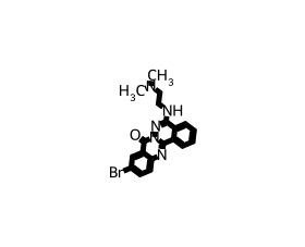 CN(C)CCNc1nn2c(=O)c3cc(Br)ccc3nc2c2ccccc12